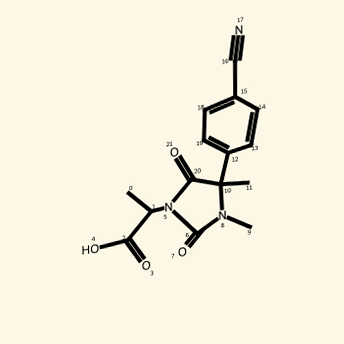 CC(C(=O)O)N1C(=O)N(C)C(C)(c2ccc(C#N)cc2)C1=O